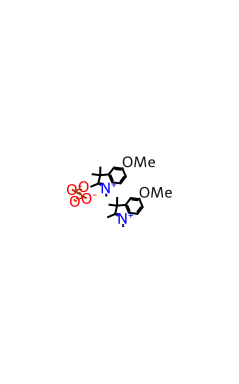 COc1ccc2c(c1)C(C)(C)C(C)=[N+]2C.COc1ccc2c(c1)C(C)(C)C(C)=[N+]2C.O=S(=O)([O-])[O-]